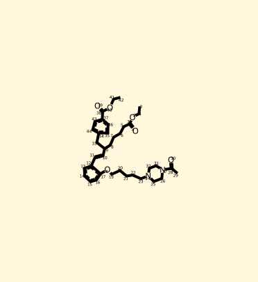 CCOC(=O)CCCCC(/C=C/c1ccccc1OCCCCCN1CCN(C(C)=O)CC1)Cc1ccc(C(=O)OCC)cc1